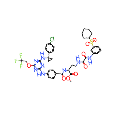 COC(=O)/C(CCNC(=O)C(=O)Nc1cccc(S(=O)(=O)C2CCCCC2)c1)=N\C(=O)c1ccc(Nc2nc(NC3(c4ccc(Cl)cc4)CC3)nc(OCC(F)(F)F)n2)cc1